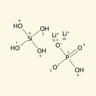 O=P([O-])([O-])O.O[Si](O)(O)O.[Li+].[Li+]